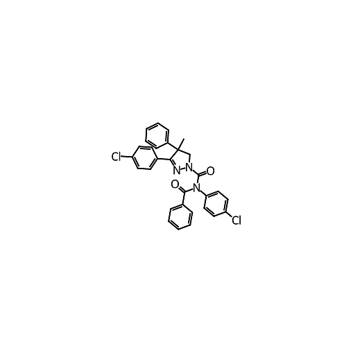 CC1(c2ccccc2)CN(C(=O)N(C(=O)c2ccccc2)c2ccc(Cl)cc2)N=C1c1ccc(Cl)cc1